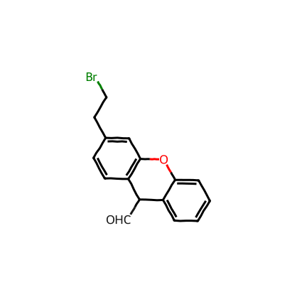 O=CC1c2ccccc2Oc2cc(CCBr)ccc21